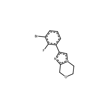 Fc1c(Br)cccc1-c1cn2c(n1)COCC2